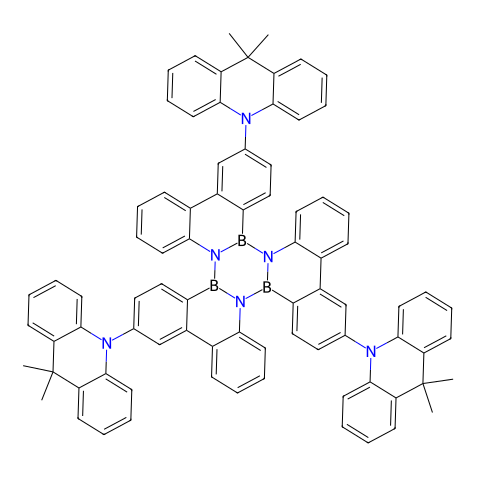 CC1(C)c2ccccc2N(c2ccc3c(c2)-c2ccccc2N2B3N3B(c4ccc(N5c6ccccc6C(C)(C)c6ccccc65)cc4-c4ccccc43)N3B2c2ccc(N4c5ccccc5C(C)(C)c5ccccc54)cc2-c2ccccc23)c2ccccc21